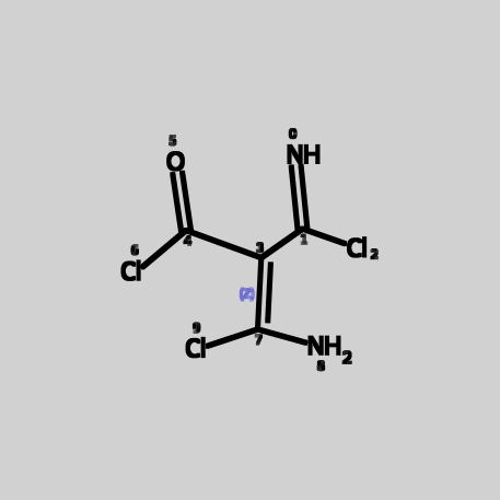 N=C(Cl)/C(C(=O)Cl)=C(\N)Cl